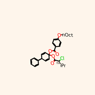 CCCCCCCCOc1ccc(C(=O)OC2(OC(=O)[C@@H](Cl)C(C)C)C=CC(c3ccccc3)C=C2)cc1